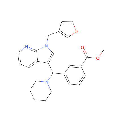 COC(=O)c1cccc(C(c2cn(Cc3ccoc3)c3ncccc23)N2CCCCC2)c1